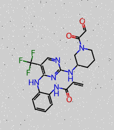 C=CC(=O)Nc1ccccc1Nc1nc(NC2CCCN(C(=O)C=O)C2)ncc1C(F)(F)F